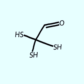 O=CC(S)(S)S